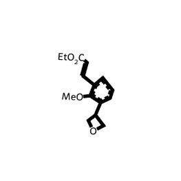 CCOC(=O)/C=C/c1cccc(C2COC2)c1OC